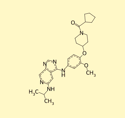 COc1cc(Nc2ncnc3cnc(NC(C)C)cc23)ccc1OC1CCN(C(=O)C2CCCC2)CC1